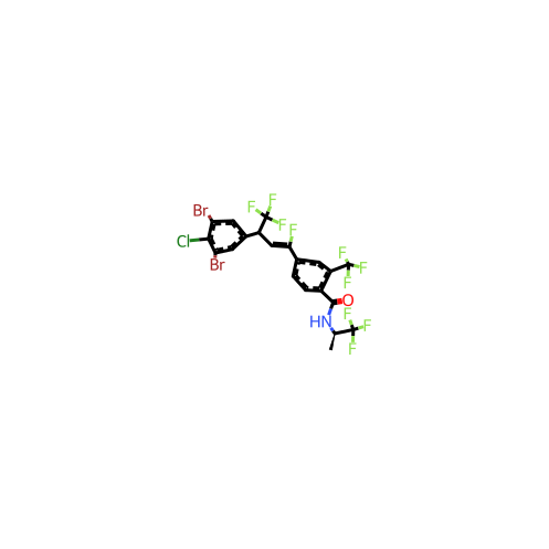 C[C@@H](NC(=O)c1ccc(/C(F)=C/C(c2cc(Br)c(Cl)c(Br)c2)C(F)(F)F)cc1C(F)(F)F)C(F)(F)F